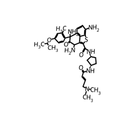 Cc1cc(OC(C)C)ccc1C1(N)C(=O)C(N)c2c(C(=O)N[C@H]3CC[C@@H](NC(=O)/C=C/CN(C)C)C3)sc3c(N)ccc1c23